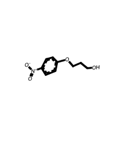 O=[N+]([O-])c1ccc(O[CH]CCO)cc1